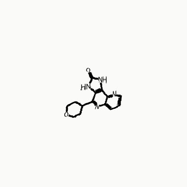 O=c1[nH]c2c(C3CCOCC3)nc3cccnc3c2[nH]1